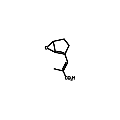 CC(=CC1=C2OC2CC1)C(=O)O